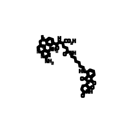 CN(Cc1cnc2nc(N)nc(N)c2n1)c1ccc(C(=O)N[C@@H](CCC(=O)NCCCCCCNc2cccc3c2C(=O)N(C2CCC(=O)NC2=O)C3=O)C(=O)O)cc1